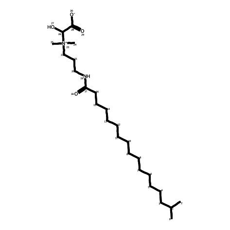 CC(C)CCCCCCCCCCCCCCC(=O)NCCC[N+](C)(C)C(O)C(=O)[O-]